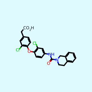 O=C(O)Cc1ccc(Oc2ccc(NC(=O)N3CCc4ccccc4C3)cc2Cl)c(Cl)c1